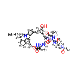 C=CC(=O)N1CC[C@]2(CCN(C(=O)N(C)[C@H](C(=O)N[C@@H]3Cc4cc(O)cc(c4)-c4ccc5c(c4)c(c(-c4ccccc4CCOC)n5CC)CC(C)(C)COC(=O)[C@@H]4CCCN(N4)C3=O)C(C)C)C2=O)C1